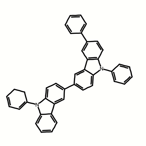 C1=CCCC(n2c3ccccc3c3cc(-c4ccc5c(c4)c4cc(-c6ccccc6)ccc4n5-c4ccccc4)ccc32)=C1